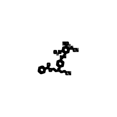 N#CCCN(CCOC(=O)c1ccccc1)c1ccc(/N=N/c2cc(SC#N)c([N+](=O)[O-])cc2[N+](=O)[O-])cc1